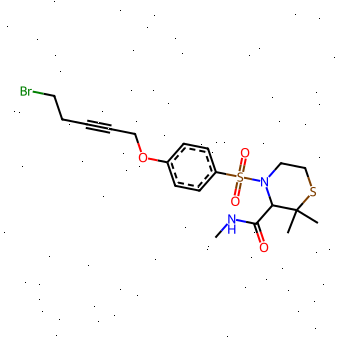 CNC(=O)C1N(S(=O)(=O)c2ccc(OCC#CCCBr)cc2)CCSC1(C)C